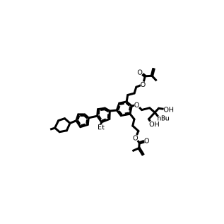 C=C(C)C(=O)OCCCc1cc(-c2ccc(-c3ccc(C4CCC(C)CC4)cc3)c(CC)c2)cc(CCCOC(=O)C(=C)C)c1OCCC(CO)(CO)CCCC